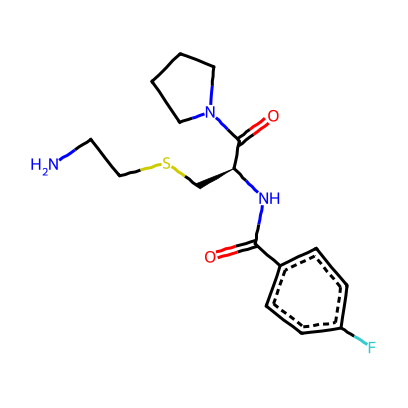 NCCSC[C@H](NC(=O)c1ccc(F)cc1)C(=O)N1CCCC1